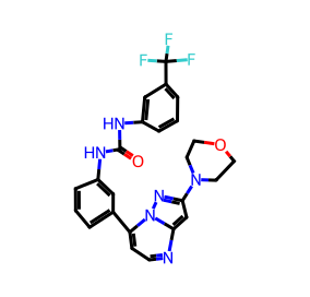 O=C(Nc1cccc(-c2ccnc3cc(N4CCOCC4)nn23)c1)Nc1cccc(C(F)(F)F)c1